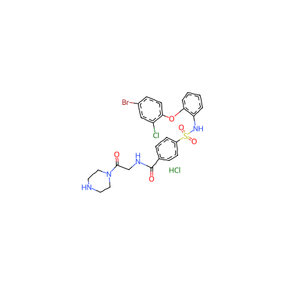 Cl.O=C(NCC(=O)N1CCNCC1)c1ccc(S(=O)(=O)Nc2ccccc2Oc2ccc(Br)cc2Cl)cc1